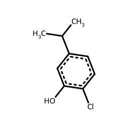 CC(C)c1ccc(Cl)c(O)c1